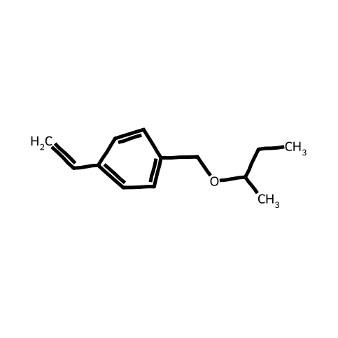 C=Cc1ccc(COC(C)CC)cc1